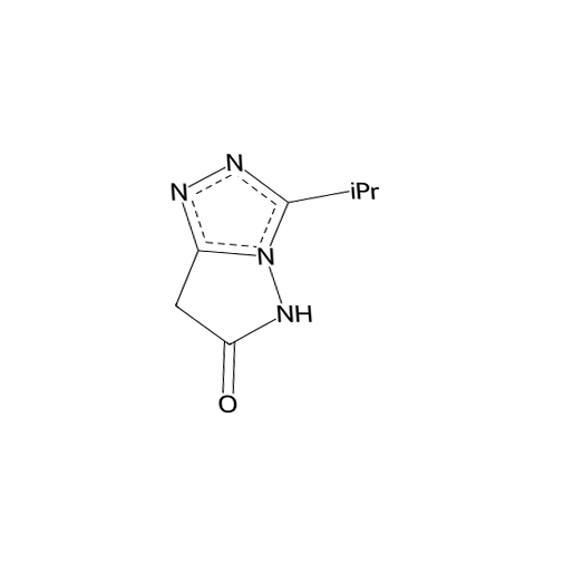 CC(C)c1nnc2n1NC(=O)C2